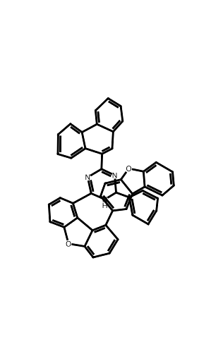 c1ccc(C2N=C(c3cc4ccccc4c4ccccc34)N=C(c3cccc4oc5cccc(-c6ccc7oc8ccccc8c7c6)c5c34)N2)cc1